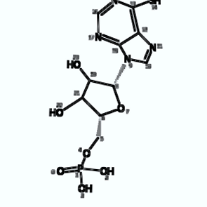 O=P(O)(O)OC[C@H]1O[C@@H](n2cnc3c(S)ncnc32)C(O)C1O